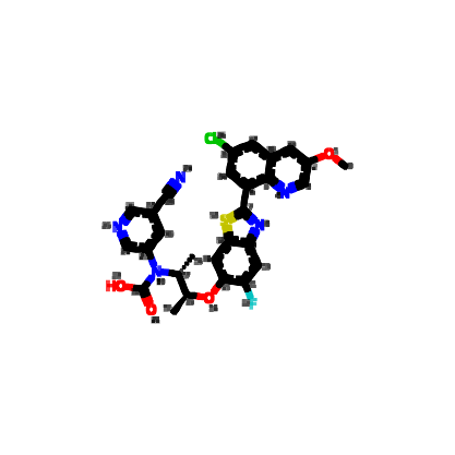 COc1cnc2c(-c3nc4cc(F)c(O[C@@H](C)[C@@H](C)N(C(=O)O)c5cncc(C#N)c5)cc4s3)cc(Cl)cc2c1